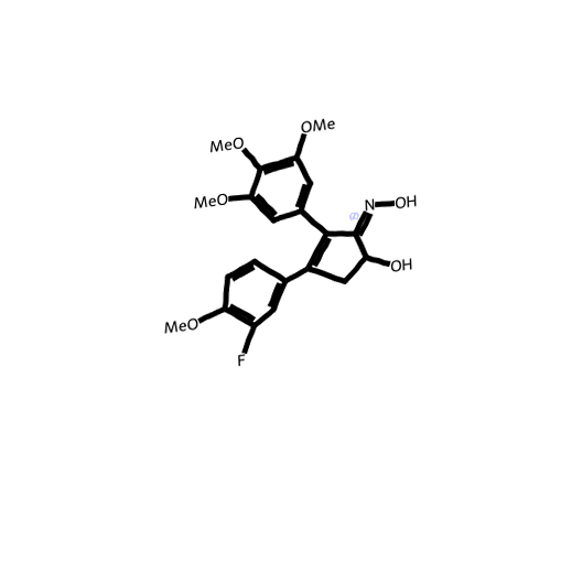 COc1ccc(C2=C(c3cc(OC)c(OC)c(OC)c3)/C(=N/O)C(O)C2)cc1F